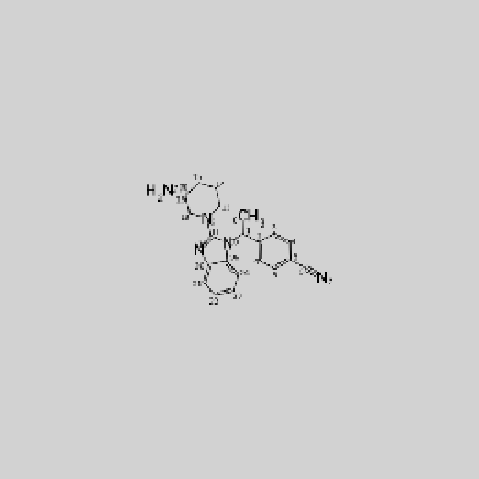 CC(c1ccc(C#N)cc1)n1c(N2CCC[C@@H](N)C2)nc2ccccc21